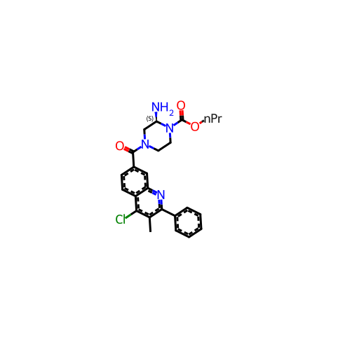 CCCOC(=O)N1CCN(C(=O)c2ccc3c(Cl)c(C)c(-c4ccccc4)nc3c2)C[C@H]1N